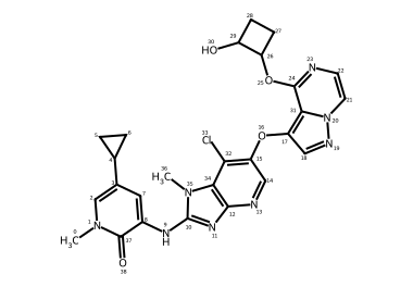 Cn1cc(C2CC2)cc(Nc2nc3ncc(Oc4cnn5ccnc(OC6CCC6O)c45)c(Cl)c3n2C)c1=O